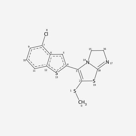 CSC1=C(c2cc3c(Cl)cccc3s2)N2CCN=C2S1